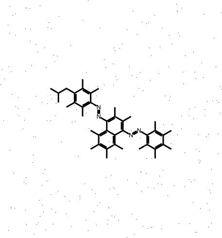 Cc1c(C)c(C)c(N=Nc2c(C)c(C)c(N=Nc3c(C)c(C)c(CC(C)C)c(C)c3C)c3c(C)c(C)c(C)c(C)c23)c(C)c1C